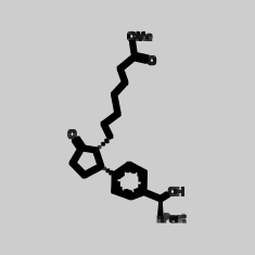 CCCCC[C@H](O)c1ccc([C@@H]2CCC(=O)[C@@H]2CCCCCCC(=O)OC)cc1